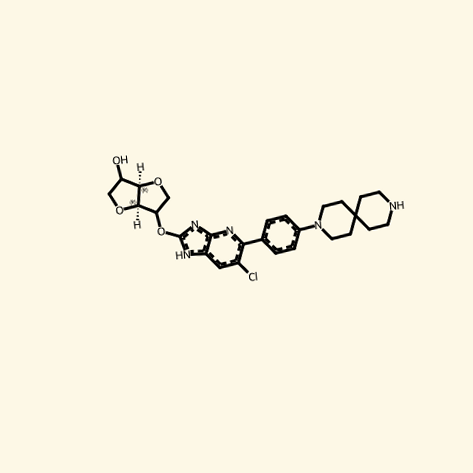 OC1CO[C@@H]2C(Oc3nc4nc(-c5ccc(N6CCC7(CCNCC7)CC6)cc5)c(Cl)cc4[nH]3)CO[C@H]12